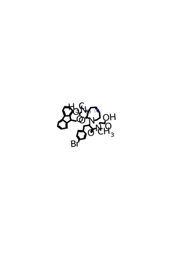 CN(CC(=O)O)C(=O)C(Cc1ccc(Br)cc1)N1CC/C=C\C[C@H](N(C)C(=O)OCC2c3ccccc3-c3ccccc32)C1=O